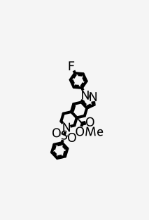 COC(=O)[C@]12Cc3cnn(-c4ccc(F)cc4)c3C=C1CCN(S(=O)(=O)c1ccccc1)C2